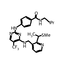 CSC(C)c1ncccc1CNc1nc(Nc2ccc(C(=O)NCC(C)C)cc2)ncc1C(F)(F)F